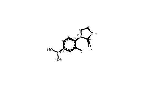 Cc1cc(B(O)O)ccc1N1CCOC1=O